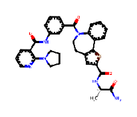 C[C@H](NC(=O)c1cc2c(s1)-c1ccccc1N(C(=O)c1cccc(NC(=O)c3cccnc3N3CCCC3)c1)CC2)C(N)=O